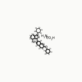 NC(=O)O.Nc1ncnc2c1c(-c1ccc3ccc(Oc4ccccc4)nc3c1)nn2C1CCCCC1